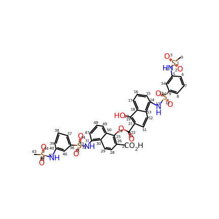 CS(=O)(=O)Nc1cccc(S(=O)(=O)Nc2cccc3c(O)c(C(=O)Oc4c(C(=O)O)ccc5c(NS(=O)(=O)c6cccc(NS(C)(=O)=O)c6)cccc45)ccc23)c1